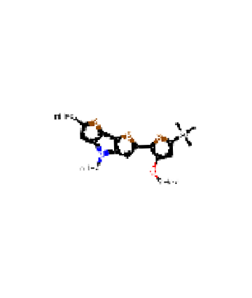 CCCCCCOc1c[c]([Sn]([CH3])([CH3])[CH3])sc1-c1cc2c(s1)c1sc(CCCCCC)cc1n2CCCCCC